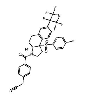 N#CCc1ccc(C(=O)N2CC[C@]3(S(=O)(=O)c4ccc(F)cc4)c4ccc(C(F)(C(F)(F)F)C(F)(F)F)cc4CC[C@H]23)cc1